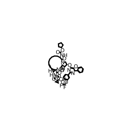 CC1(S(=O)(=O)NC(=O)[C@@]23C[C@H]2/C=C\CCCCC[C@H](NC(=O)OC2CCCC2)C(=O)N2C[C@H](Oc4nc(-c5ccc(OC(F)(F)F)cc5)nc5c4oc4ccccc45)C[C@H]2C(=O)N3)CC1